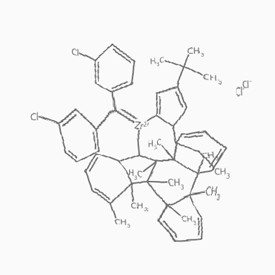 CCCC1C=C(C(C)(C)C)C=[C]1[Zr+2](=[C](c1cccc(Cl)c1)c1cccc(Cl)c1)[CH]1C2C=CC=C(C)C2(C)C2(C)C3(C)C=CC=CC3(C)C3(C)C=CC=CC3(C)C12C.[Cl-].[Cl-]